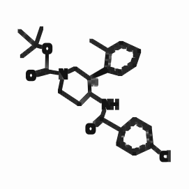 Cc1ccccc1[C@@H]1CN(C(=O)OC(C)(C)C)CCC1NC(=O)c1ccc(Cl)cc1